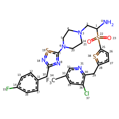 NC(CN1CCN(c2nc(Cc3ccc(F)cc3)ns2)CC1)S(=O)(=O)c1ccc(Cc2ncc(C(F)(F)F)cc2Cl)s1